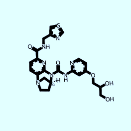 O=C(NCc1cscn1)c1ccc2c(n1)N(C(=O)Nc1cc(OCC(O)CO)ccn1)[C@H]1CCN2C1